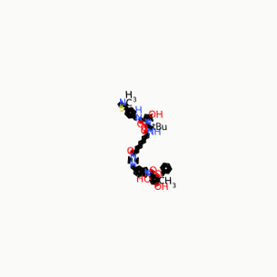 Cc1ncsc1-c1ccc(CNC(=O)[C@@H]2C[C@@H](O)CN2C(=O)[C@@H](NC(=O)CCCCCCCC(=O)N2CCN(Cc3ccc4c(c3)CN(C(=O)c3c(O)cc(O)c(C)c3OCC3CCCCC3)C4)CC2)C(C)(C)C)cc1